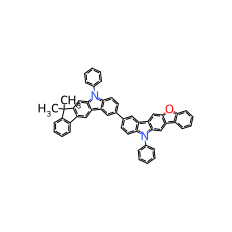 CC1(C)c2ccccc2-c2cc3c4cc(-c5ccc6c(c5)c5cc7oc8ccccc8c7cc5n6-c5ccccc5)ccc4n(-c4ccccc4)c3cc21